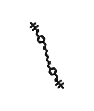 CC(C)(C)[Si](C)(C)OCc1ccc(COCC=CCOCc2ccc(CO[Si](C)(C)C(C)(C)C)cc2)cc1